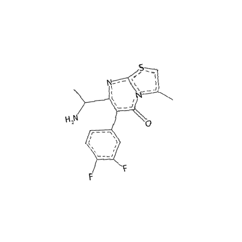 Cc1csc2nc(C(C)N)c(-c3ccc(F)c(F)c3)c(=O)n12